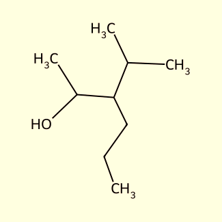 CCCC(C(C)C)C(C)O